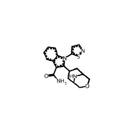 NC(=O)c1c(C2CC3COCC(C2)N3)n(-c2ccns2)c2ccccc12